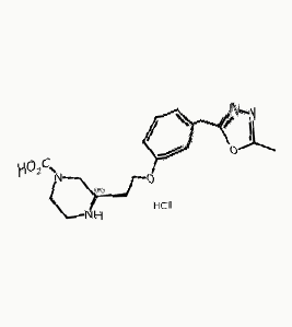 Cc1nnc(-c2cccc(OCC[C@@H]3CN(C(=O)O)CCN3)c2)o1.Cl